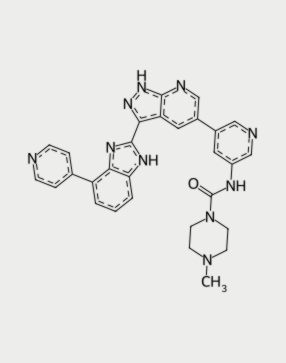 CN1CCN(C(=O)Nc2cncc(-c3cnc4[nH]nc(-c5nc6c(-c7ccncc7)cccc6[nH]5)c4c3)c2)CC1